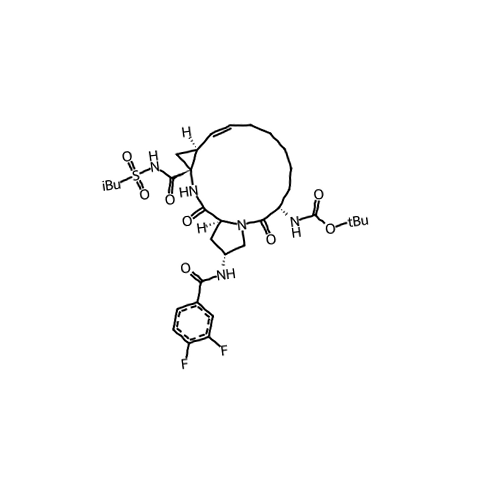 CCC(C)S(=O)(=O)NC(=O)[C@@]12C[C@H]1/C=C\CCCCC[C@H](NC(=O)OC(C)(C)C)C(=O)N1C[C@H](NC(=O)c3ccc(F)c(F)c3)C[C@H]1C(=O)N2